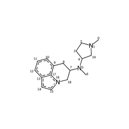 CN1CCC(N(C)C2Cc3cccc4ccn(c34)C2)C1